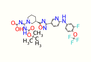 CC(C)(C)OC(=O)N/C(=N\C(=O)O)N1CCC[C@@H](c2nc(-c3ccc(Nc4ccc(OC(F)(F)F)c(F)c4)nc3)no2)C1